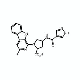 Cc1nc(N2CC(NC(=O)c3cn[nH]c3)CC2C(=O)O)c2oc3ccccc3c2n1